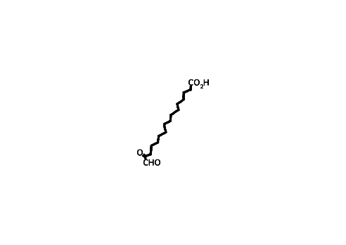 O=CC(=O)CCCCCCCCCCCCCC(=O)O